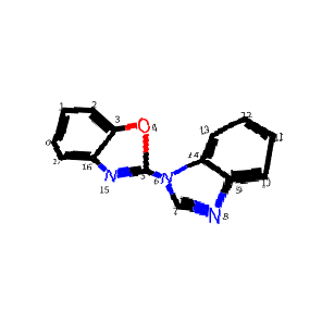 c1ccc2oc(-n3cnc4ccccc43)nc2c1